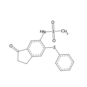 CS(=O)(=O)Nc1cc2c(cc1Sc1ccccc1)CCC2=O